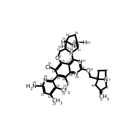 C=C1CN2CCC2(COc2nc3c4c(c(Cl)c(-c5nc(N)cc(C)c5C(F)(F)F)c(F)c4n2)OC[C@@H]2[C@@H]4CC[C@H](CN32)N4)C1